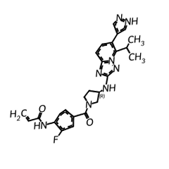 C=CC(=O)Nc1ccc(C(=O)N2CC[C@@H](Nc3nc4ccc(-c5cn[nH]c5)c(C(C)C)n4n3)C2)cc1F